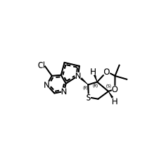 CC1(C)O[C@H]2[C@H](n3ccc4c(Cl)ncnc43)SC[C@H]2O1